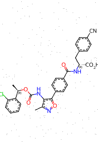 Cc1noc(-c2ccc(C(=O)N[C@H](Cc3ccc(C#N)cc3)C(=O)O)cc2)c1NC(=O)O[C@H](C)c1ccccc1Cl